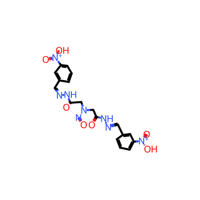 O=NN(CC(=O)N/N=C\c1cccc([N+](=O)O)c1)CC(=O)N/N=C/c1cccc([N+](=O)O)c1